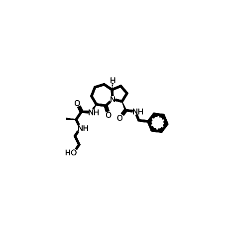 C[C@H](NCCO)C(=O)N[C@H]1CCC[C@H]2CC[C@@H](C(=O)NCc3ccccc3)N2C1=O